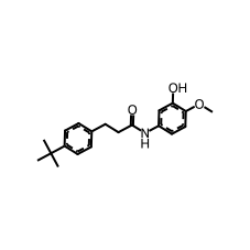 COc1ccc(NC(=O)CCc2ccc(C(C)(C)C)cc2)cc1O